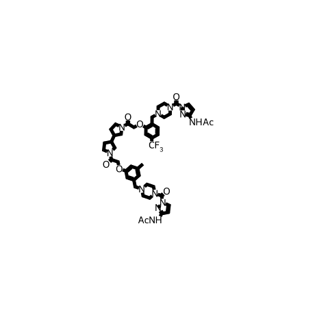 CC(=O)Nc1ccn(C(=O)N2CCN(Cc3cc(C)cc(OCC(=O)N4CCC(C5CCN(C(=O)COc6cc(C(F)(F)F)ccc6CN6CCN(C(=O)n7ccc(NC(C)=O)n7)CC6)C5)C4)c3)CC2)n1